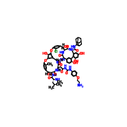 CN[C@H](CC(C)C)C(=O)N[C@H]1C(=O)N[C@@H](CC(=O)NC(=O)Nc2ccc(OCCN)cc2)C(=O)N[C@H]2C(=O)N[C@H]3C(=O)N[C@H](C(=O)N[C@H](C(=O)NC4C5CC6CC(C5)CC4C6)c4cc(O)cc(O)c4-c4cc3ccc4O)[C@H](O)c3ccc(c(Cl)c3)Oc3cc2cc(c3O)Oc2ccc(cc2C)[C@H]1O